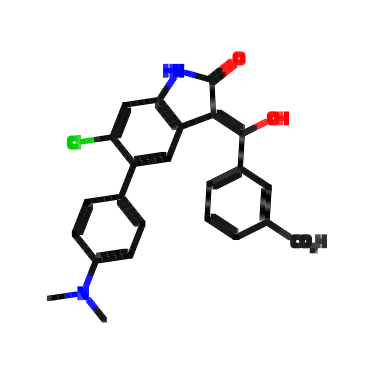 CN(C)c1ccc(-c2cc3c(cc2Cl)NC(=O)C3=C(O)c2cccc(C(=O)O)c2)cc1